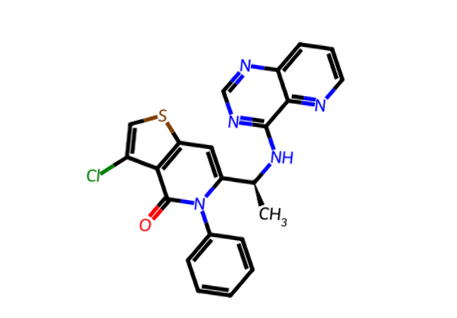 C[C@H](Nc1ncnc2cccnc12)c1cc2scc(Cl)c2c(=O)n1-c1ccccc1